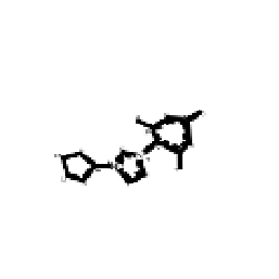 Cc1cc(C)c(-[n+]2ccn(C3CCCC3)c2)c(C)c1